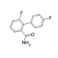 NC(=O)c1cccc(F)c1-c1ccc(F)cc1